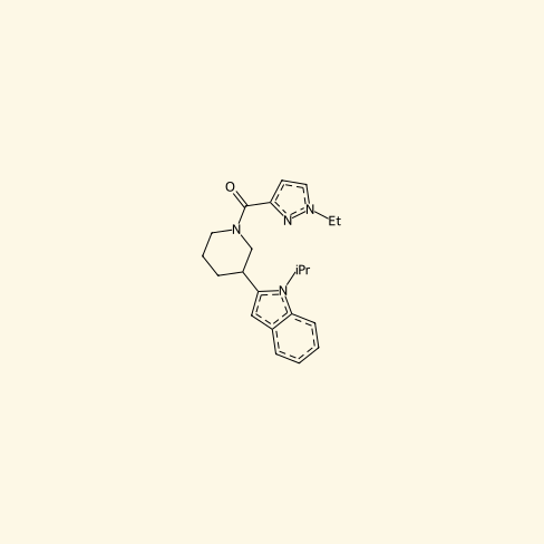 CCn1ccc(C(=O)N2CCCC(c3cc4ccccc4n3C(C)C)C2)n1